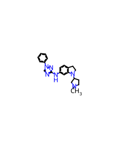 CN1CCC(N2CCc3ccc(Nc4ncn(-c5ccccc5)n4)cc32)C1